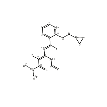 C=CNC(/N=C(\C)c1cccnc1CCC1CC1)=C(/C)C(=C)N(CCC)C(C)C